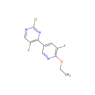 CCOc1ncc(-c2nc(Cl)ncc2F)cc1F